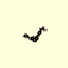 CCS(=O)(=O)CCCOc1cc(C)c2c(c1)CCOc1ccc(COc3ccc([C@H]4C[C@@H]4C(=O)O)cc3)cc1-2